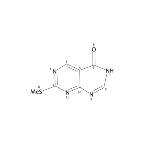 CSc1ncc2c(=O)[nH]cnc2n1